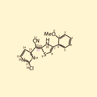 COc1ccccc1C1=CS/C(=C(/C#N)c2ccnc(Cl)n2)N1